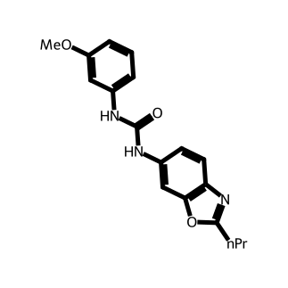 CCCc1nc2ccc(NC(=O)Nc3cccc(OC)c3)cc2o1